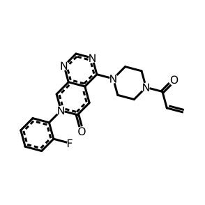 C=CC(=O)N1CCN(c2ncnc3cn(-c4ccccc4F)c(=O)cc23)CC1